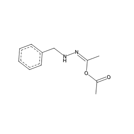 CC(=O)OC(C)=NNCc1ccccc1